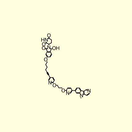 Cn1c2ccncc2c2ccc(-c3ccc(OCCCOc4ccc(C#CCCCCOc5ccc6c(c5)C(=O)N(C5CCC(=O)NC5=O)C6O)cn4)nc3)cc21